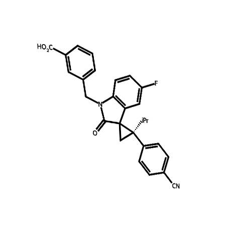 CC(C)[C@]1(c2ccc(C#N)cc2)CC12C(=O)N(Cc1cccc(C(=O)O)c1)c1ccc(F)cc12